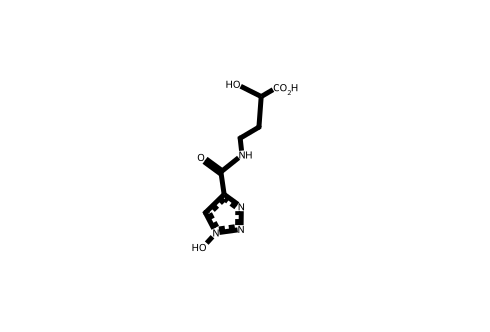 O=C(NCCC(O)C(=O)O)c1cn(O)nn1